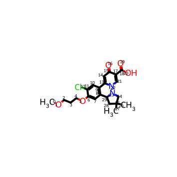 COCCCOc1cc2c(cc1Cl)-c1cc(=O)c(C(=O)O)cn1N1CC(C)(C)CC21